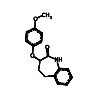 COc1ccc(OC2CCc3ccccc3NC2=O)cc1